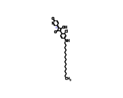 CCCCCCCCCCCCCCCCNc1ccc(C2=C(O)/C(=C3\C=CC(=O)N=C3)C2=O)c(Cl)c1